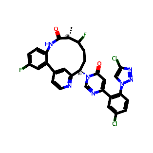 C[C@H]1C(=O)Nc2ccc(F)cc2-c2ccnc(c2)[C@@H](n2cnc(-c3cc(Cl)ccc3-n3cc(Cl)nn3)cc2=O)CCC1F